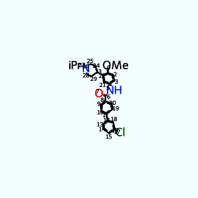 COc1ccc(NC(=O)c2ccc(-c3cccc(Cl)c3)cc2)cc1C1CCN(C(C)C)CC1